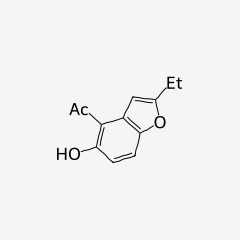 CCc1cc2c(C(C)=O)c(O)ccc2o1